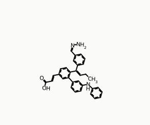 CC/C=C(\c1cccc(/C=N\N)c1)c1ccc(/C=C/C(=O)O)cc1-c1cccc(Nc2ccccc2)c1